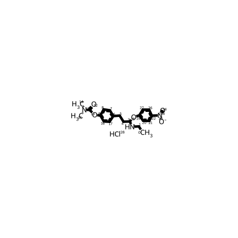 CCNC(CCc1ccc(OC(=O)N(C)C)cc1)Oc1ccc([N+](=O)[O-])cc1.Cl